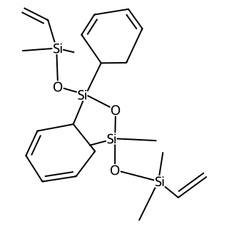 C=C[Si](C)(C)O[Si](C)(C)O[Si](O[Si](C)(C)C=C)(C1C=CC=CC1)C1C=CC=CC1